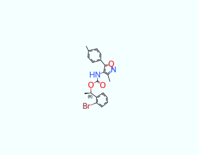 Cc1ccc(-c2onc(C)c2NC(=O)O[C@H](C)c2ccccc2Br)cc1